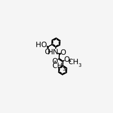 COC(C(=O)Nc1ccccc1C(=O)O)=C(OC)c1ccccc1